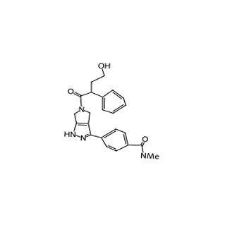 CNC(=O)c1ccc(-c2n[nH]c3c2CN(C(=O)C(CCO)c2ccccc2)C3)cc1